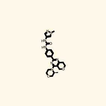 C[C@H]1COCCN1c1nc(-c2ccc(NC(=O)Nc3cnn(C)c3)cc2)nc2c1COCC2